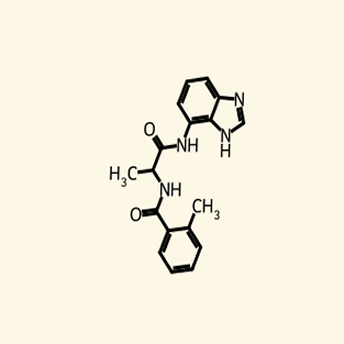 Cc1ccccc1C(=O)NC(C)C(=O)Nc1cccc2nc[nH]c12